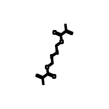 C=C(C)C(=O)OCSSCOC(=O)C(=C)C